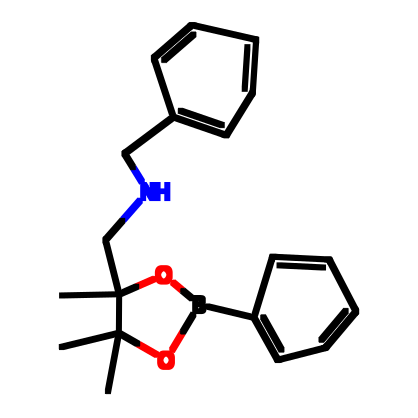 CC1(C)OB(c2ccccc2)OC1(C)CNCc1ccccc1